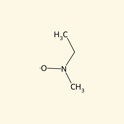 CCN(C)[O]